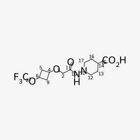 O=C(COC1CC(OC(F)(F)F)C1)NN1CCC(C(=O)O)CC1